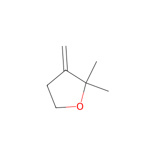 C=C1CCOC1(C)C